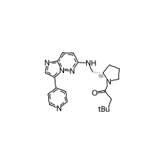 CC(C)(C)CC(=O)N1CCC[C@H]1CNc1ccc2ncc(-c3ccncc3)n2n1